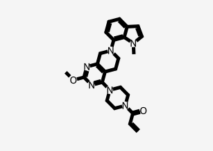 C=CC(=O)N1CCN(c2nc(OC)nc3c2CCN(c2cccc4ccn(C)c24)C3)CC1